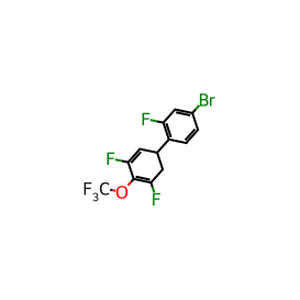 FC1=CC(c2ccc(Br)cc2F)CC(F)=C1OC(F)(F)F